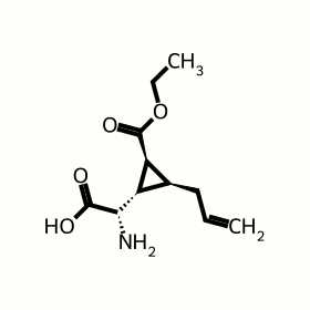 C=CC[C@@H]1[C@H](C(=O)OCC)[C@H]1[C@H](N)C(=O)O